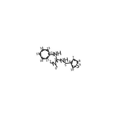 C[N+](C)=C(NCc1ccsc1)Nc1ccccc1